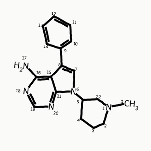 CN1CCCC(n2cc(-c3ccccc3)c3c(N)ncnc32)C1